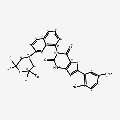 COc1ccc(C#N)c(-c2cc3[nH]c(=O)n(-c4cncc5ccc(N6CC(F)(F)OC(F)(F)C6)cc45)c(=O)c3s2)c1